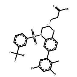 Cc1c(F)cc(F)cc1-c1ccc2c(c1)N(S(=O)(=O)c1cccc(C(F)(F)F)c1)C[C@H](CCC(=O)O)O2